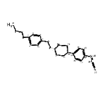 CCCCc1ccc(CC[C@H]2CC[C@H](c3ccc(N=C=S)cc3)CC2)cc1